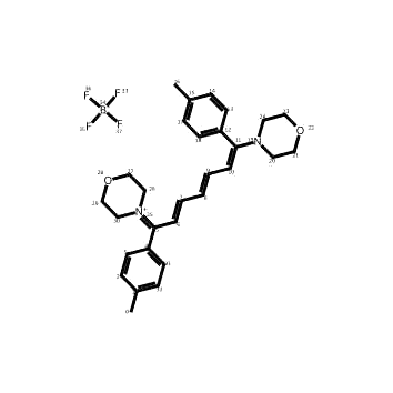 Cc1ccc(C(/C=C/C=C/C=C(\c2ccc(C)cc2)N2CCOCC2)=[N+]2CCOCC2)cc1.F[B-](F)(F)F